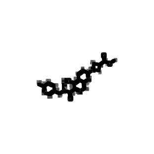 COC(=O)C1CN(c2ccc3c(O)c(C(=O)NCc4ccc(C)nc4)ncc3n2)C1